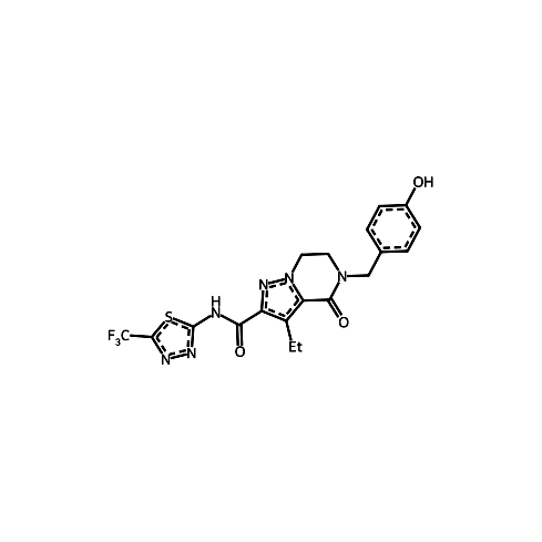 CCc1c(C(=O)Nc2nnc(C(F)(F)F)s2)nn2c1C(=O)N(Cc1ccc(O)cc1)CC2